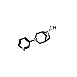 CN1CC2CC1CN(c1cccnc1)C2